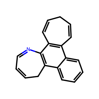 C1=CCc2c(c3c(c4ccccc24)C=CCC=C3)N=C1